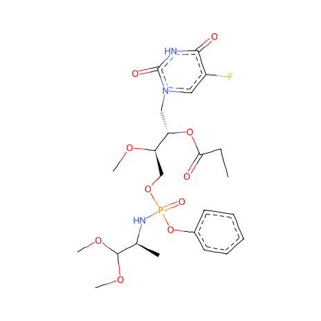 CCC(=O)O[C@@H](Cn1cc(F)c(=O)[nH]c1=O)[C@@H](COP(=O)(N[C@@H](C)C(OC)OC)Oc1ccccc1)OC